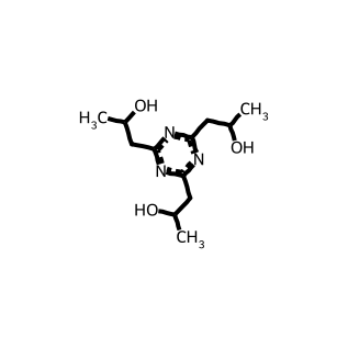 CC(O)Cc1nc(CC(C)O)nc(CC(C)O)n1